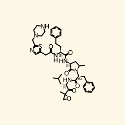 CC(C)C[C@H](NC(=O)[C@H](Cc1ccccc1)N1C(=O)[C@@H](NC(=O)[C@H](CCc2ccccc2)NC(=O)Cc2cnc(CN3CCNCC3)s2)CC1C)C(=O)C1(C)CO1